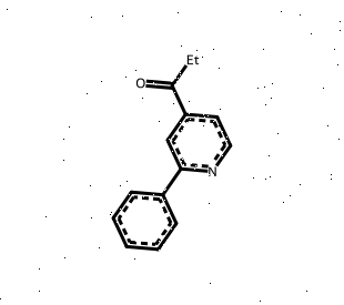 CCC(=O)c1ccnc(-c2ccccc2)c1